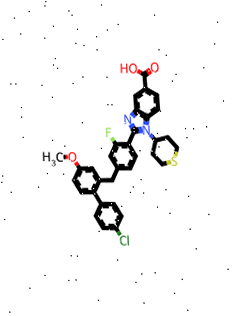 COc1ccc(-c2ccc(Cl)cc2)c(Cc2ccc(-c3nc4cc(C(=O)O)ccc4n3C3CCSCC3)c(F)c2)c1